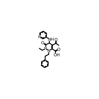 CCN1C(=O)C(Nc2cccnc2)C(C(C)=O)=C(C(=O)O)N1CCc1ccccc1